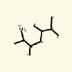 CC(C)C(C)CC(C)C(C)N